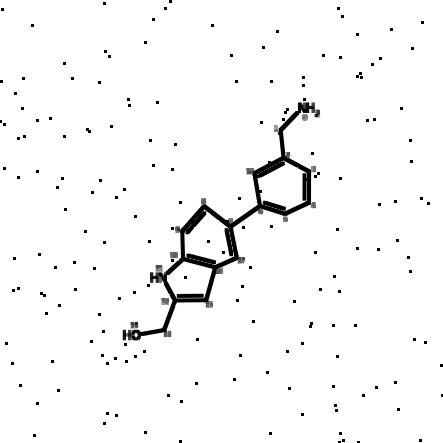 NCc1cccc(-c2ccc3[nH]c(CO)cc3c2)c1